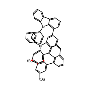 CC(C)(C)c1cc(-c2cccc3cccc(-c4ccccc4N(c4ccccc4)c4cccc(-c5cccc6c7ccccc7n(-c7ccccc7)c56)c4)c23)cc(C(C)(C)C)c1